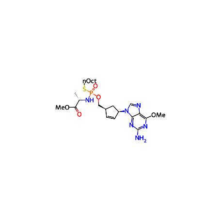 CCCCCCCCSP(=O)(N[C@@H](C)C(=O)OC)OC[C@@H]1C=C[C@H](n2cnc3c(OC)nc(N)nc32)C1